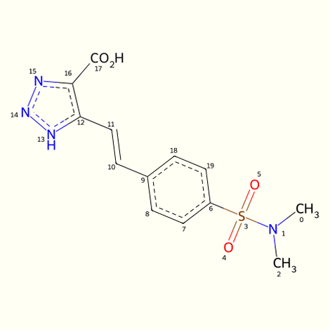 CN(C)S(=O)(=O)c1ccc(/C=C/c2[nH]nnc2C(=O)O)cc1